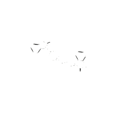 O=c1[nH]c2ccccc2n1CCCN1CCC(n2c(=S)[nH]c3ccccc32)CC1